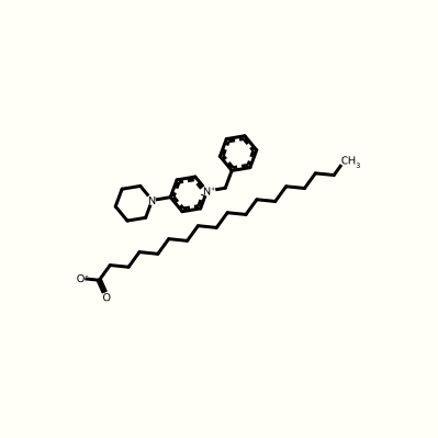 CCCCCCCCCCCCCCCCCC(=O)[O-].c1ccc(C[n+]2ccc(N3CCCCC3)cc2)cc1